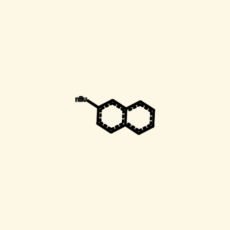 CCCCc1ccc2ccccc2c1